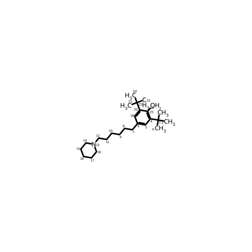 CC(C)(C)c1cc(CCCCCCN2CCCCC2)cc(C(C)(C)C)c1O